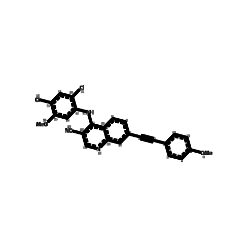 COc1ccc(C#Cc2ccc3c(Nc4cc(OC)c(Cl)cc4Cl)c(C#N)cnc3c2)cc1